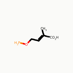 CC(=CCOP)C(=O)O